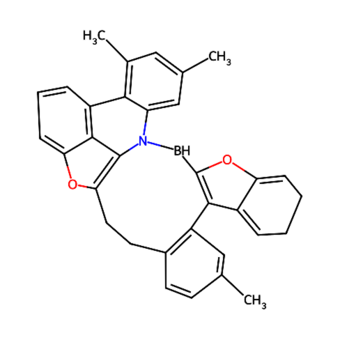 Cc1ccc2c(c1)-c1c(oc3c1=CCCC=3)BN1c3cc(C)cc(C)c3-c3cccc4oc(c1c34)CC2